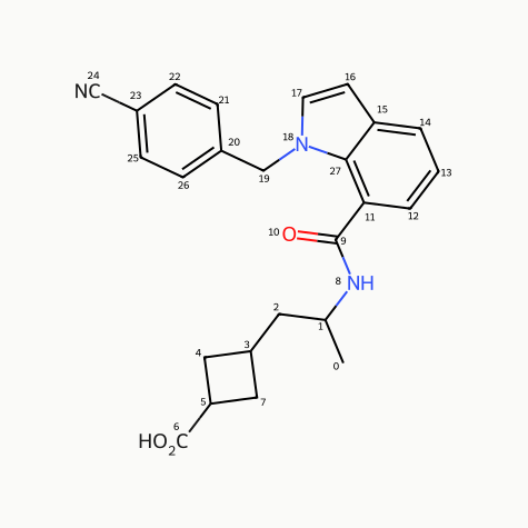 CC(CC1CC(C(=O)O)C1)NC(=O)c1cccc2ccn(Cc3ccc(C#N)cc3)c12